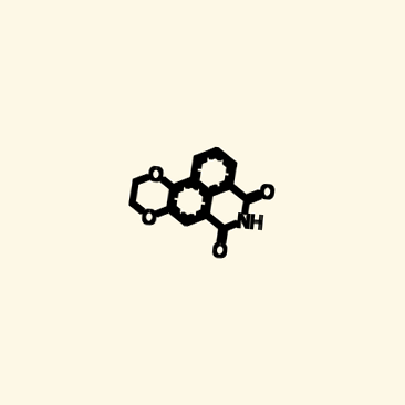 O=C1NC(=O)c2cc3c(c4cccc1c24)OCCO3